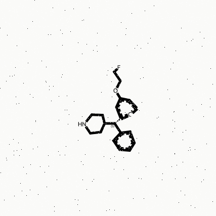 FCCOc1cccc([C@H](c2ccccc2)C2CCNCC2)c1